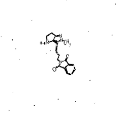 Cn1nc2c(c1CCCN1C(=O)c3ccccc3C1=O)NCC2